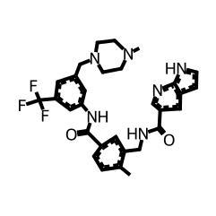 Cc1ccc(C(=O)Nc2cc(CN3CCN(C)CC3)cc(C(F)(F)F)c2)cc1CNC(=O)c1cnc2[nH]ccc2c1